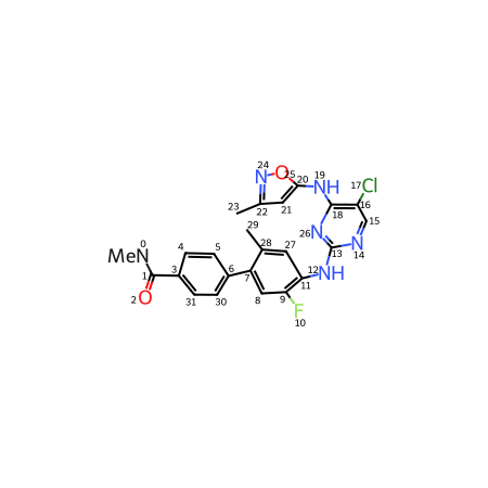 CNC(=O)c1ccc(-c2cc(F)c(Nc3ncc(Cl)c(Nc4cc(C)no4)n3)cc2C)cc1